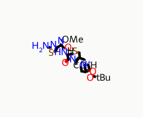 CO/N=C(\C(=O)N[C@@H]1C(=O)N2C(C(=O)O)=C(C[N+]34CCC(CC3)C(OC(=O)C(C)(C)C)C4)CS[C@H]12)c1csc(N)n1